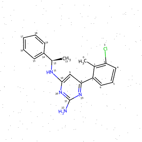 Cc1c(Cl)cccc1-c1cc(N[C@H](C)c2ccccc2)nc(N)n1